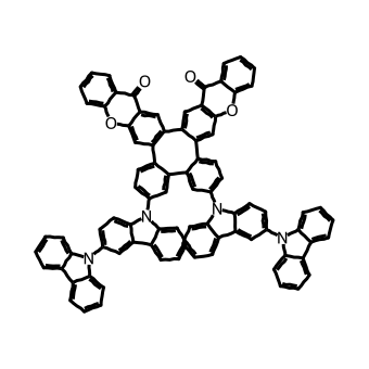 O=c1c2ccccc2oc2cc3c(cc12)-c1cc2c(=O)c4ccccc4oc2cc1-c1ccc(-n2c4ccccc4c4cc(-n5c6ccccc6c6ccccc65)ccc42)cc1-c1cc(-n2c4ccccc4c4cc(-n5c6ccccc6c6ccccc65)ccc42)ccc1-3